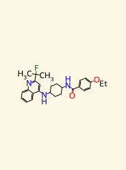 CCOc1ccc(C(=O)NC2CCC(Nc3cc(C(C)(C)F)nc4ccccc34)CC2)cc1